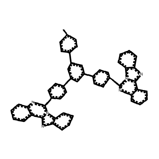 Cc1ccc(-c2cc(-c3ccc(-c4nc5ccccc5c5nc6ccccc6n45)cc3)cc(-c3ccc(-c4nc5ccccc5c5nc6ccccc6n45)cc3)c2)cc1